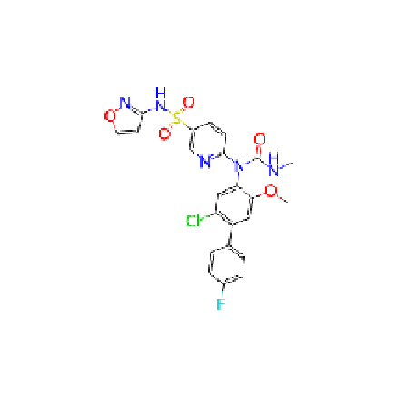 CNC(=O)N(c1ccc(S(=O)(=O)Nc2ccon2)cn1)c1cc(Cl)c(-c2ccc(F)cc2)cc1OC